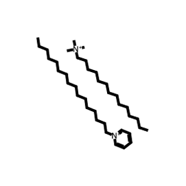 CCCCCCCCCCCCCCCC[n+]1ccccc1.CCCCCCCCCCCCCC[N+](C)(C)C